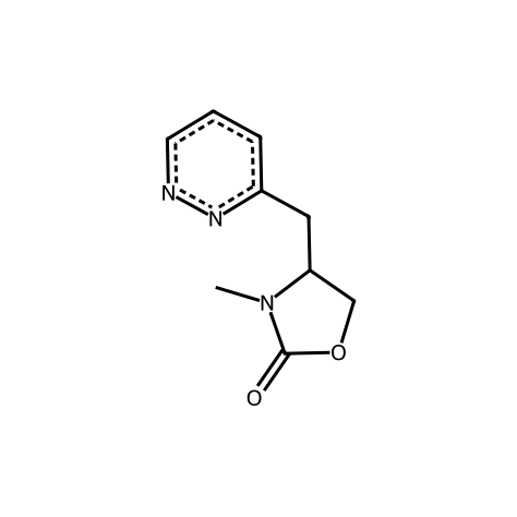 CN1C(=O)OCC1Cc1cccnn1